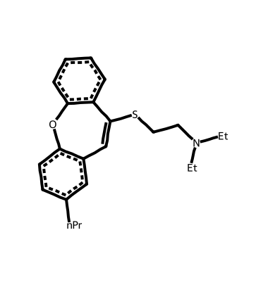 CCCc1ccc2c(c1)C=C(SCCN(CC)CC)c1ccccc1O2